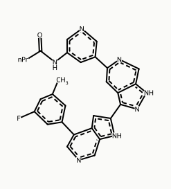 CCCC(=O)Nc1cncc(-c2cc3c(-c4cc5c(-c6cc(C)cc(F)c6)cncc5[nH]4)n[nH]c3cn2)c1